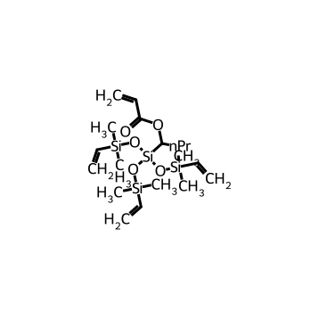 C=CC(=O)OC(CCC)[Si](O[Si](C)(C)C=C)(O[Si](C)(C)C=C)O[Si](C)(C)C=C